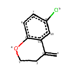 C=C1CCOc2ccc(Cl)cc21